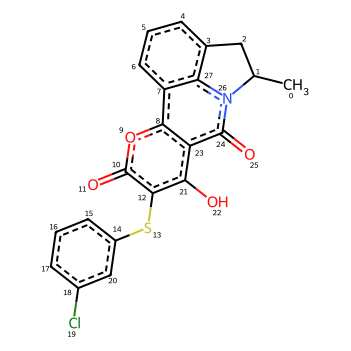 CC1Cc2cccc3c4oc(=O)c(Sc5cccc(Cl)c5)c(O)c4c(=O)n1c23